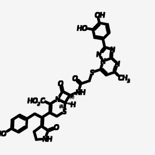 Cc1cc(SCC(=O)N[C@@H]2C(=O)N3C(C(=O)O)=C(C(Cc4ccc(O)cc4)=C4CCNC4=O)CS[C@H]23)n2nc(-c3ccc(O)c(O)c3)nc2n1